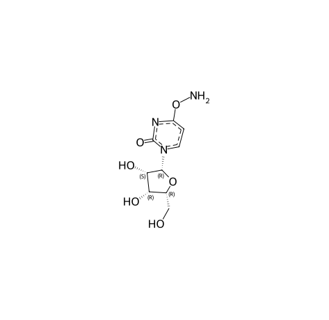 NOc1ccn([C@@H]2O[C@H](CO)[C@H](O)[C@@H]2O)c(=O)n1